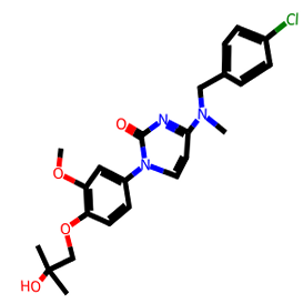 COc1cc(-n2ccc(N(C)Cc3ccc(Cl)cc3)nc2=O)ccc1OCC(C)(C)O